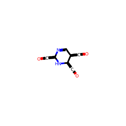 O=C=C1N=CC(=C=O)C(=C=O)N1